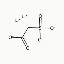 O=C([O-])CS(=O)(=O)[O-].[Li+].[Li+]